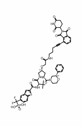 CC(C)(C)C(NC(=O)c1cc2cc(C(F)(F)P(=O)(O)O)ccc2s1)C(=O)N1C[C@@H](OCC(=O)NCCCC#Cc2cccc3c2C(=O)N(C2CCC(=O)NC2=O)C3=O)C[C@H]1C(=O)N1CCO[C@H](c2ccccc2)C1